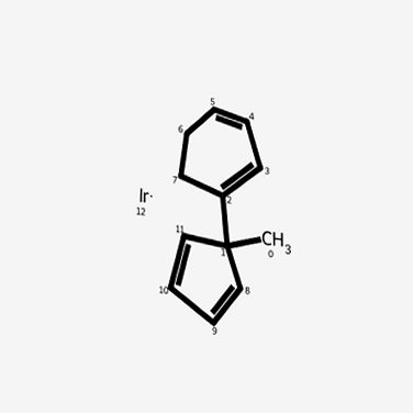 CC1(C2=CC=CCC2)C=CC=C1.[Ir]